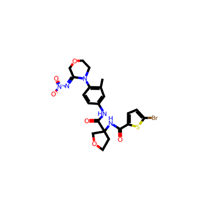 Cc1cc(NC(=O)C2(NC(=O)c3ccc(Br)s3)CCOC2)ccc1N1CCOCC1=N[N+](=O)[O-]